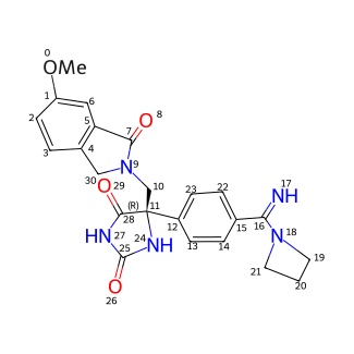 COc1ccc2c(c1)C(=O)N(C[C@@]1(c3ccc(C(=N)N4CCC4)cc3)NC(=O)NC1=O)C2